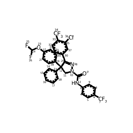 O=C(Nc1ccc(C(F)(F)F)cc1)N1CC(c2ccccc2)(c2ccc(OC(F)F)cc2)C(c2ccc(C(F)(F)F)c(Cl)c2)=N1